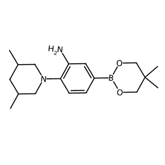 CC1CC(C)CN(c2ccc(B3OCC(C)(C)CO3)cc2N)C1